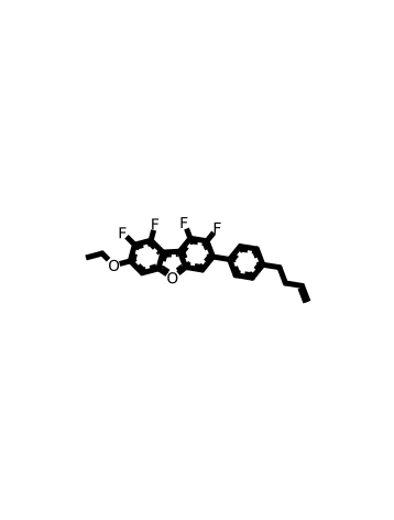 C=CCCc1ccc(-c2cc3oc4cc(OCC)c(F)c(F)c4c3c(F)c2F)cc1